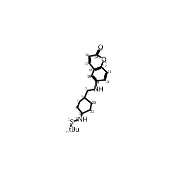 CC(C)(C)SNC1CCC(CNc2ccc3oc(=O)ccc3c2)CC1